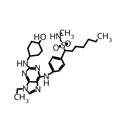 CCCCCCC(c1ccc(Nc2nc(NC3CCC(O)CC3)nc3c2ncn3CC)cc1)S(=O)(=O)NC